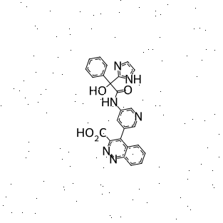 O=C(O)c1nnc2ccccc2c1-c1cncc(NC(=O)C(O)(c2ccccc2)c2ncc[nH]2)c1